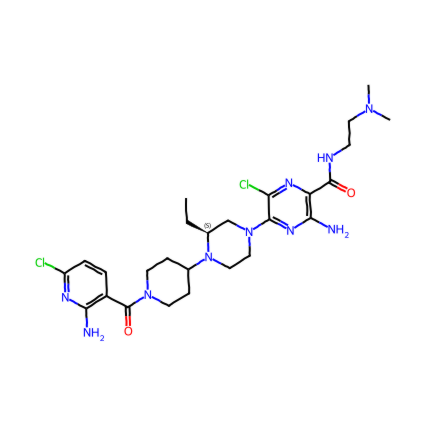 CC[C@H]1CN(c2nc(N)c(C(=O)NCCN(C)C)nc2Cl)CCN1C1CCN(C(=O)c2ccc(Cl)nc2N)CC1